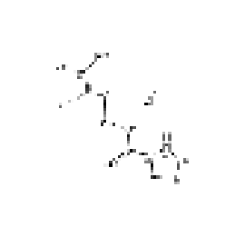 Cl.O=C(OCCC(F)=C(F)F)[C@@H]1CCCN1